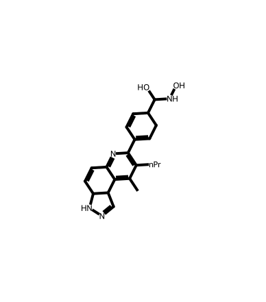 CCCc1c(C2=CCC(C(O)NO)C=C2)nc2c(c1C)C1C=NNC1C=C2